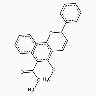 COC(=O)c1c(OC)c2c(c3ccccc13)OC(c1ccccc1)C=C2